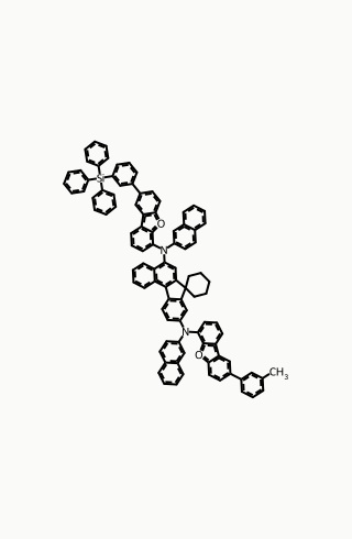 Cc1cccc(-c2ccc3oc4c(N(c5ccc6c(c5)C5(CCCCC5)c5cc(N(c7ccc8ccccc8c7)c7cccc8c7oc7ccc(-c9cccc([Si](c%10ccccc%10)(c%10ccccc%10)c%10ccccc%10)c9)cc78)c7ccccc7c5-6)c5ccc6ccccc6c5)cccc4c3c2)c1